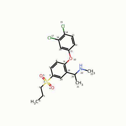 CCCS(=O)(=O)c1ccc(Oc2ccc(Cl)c(Cl)c2)c(C(C)NC)c1